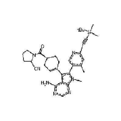 Cc1cc(C#C[Si](C)(C)C(C)(C)C)ncc1-c1c(C2=CC[C@@H](C(=O)N3CCCC3C#N)CC2)c2c(N)ncnc2n1C